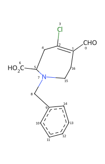 O=CC1=C(Cl)CC(C(=O)O)N(Cc2ccccc2)CC1